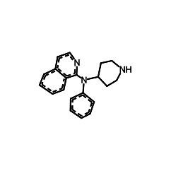 c1ccc(N(c2nccc3ccccc23)C2CCNCC2)cc1